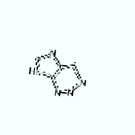 [c]1nnnc2[nH]cnc12